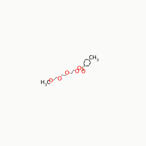 COCCOCCOCCOOS(=O)c1ccc(C)cc1